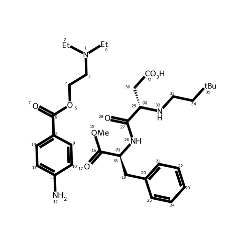 CCN(CC)CCOC(=O)c1ccc(N)cc1.COC(=O)[C@H](Cc1ccccc1)NC(=O)[C@H](CC(=O)O)NCCC(C)(C)C